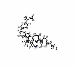 C=Nc1c(-c2cc3c(N4CCN(C(=O)C5CC5)CC4)ccnc3[nH]2)ccc(N2CCN(CC)CC2)c1/C=C\C